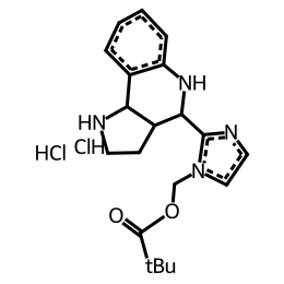 CC(C)(C)C(=O)OCn1ccnc1C1Nc2ccccc2C2NCCC21.Cl.Cl